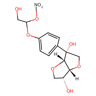 O=[N+]([O-])OC(CO)Oc1ccc([C@@]2(O)CO[C@@H]3[C@H](O)CO[C@@H]32)cc1